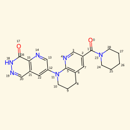 O=C(c1cnc2c(c1)CCCN2c1cnc2c(=O)[nH]ncc2c1)N1CCCCC1